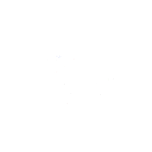 O=S(=O)(NC1CC1)c1cc(Br)cc(C(F)(F)F)c1